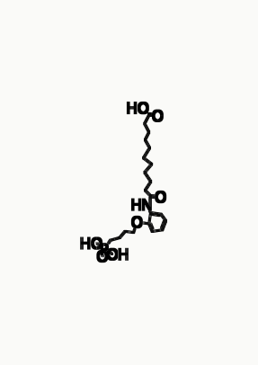 O=C(O)CCCCCCCCCC(=O)Nc1ccccc1OCCCCP(=O)(O)O